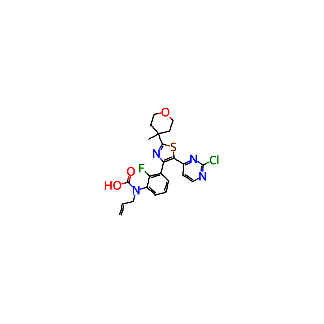 C=CCN(C(=O)O)c1cccc(-c2nc(C3(C)CCOCC3)sc2-c2ccnc(Cl)n2)c1F